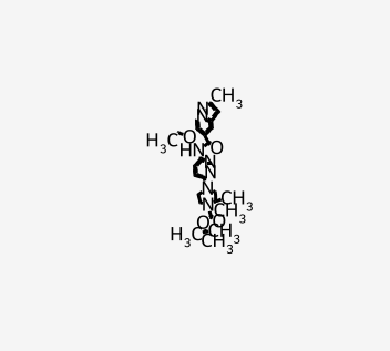 CCOc1cn2nc(C)cc2cc1C(=O)Nc1ccc(N2CCN(C(=O)OC(C)(C)C)C(C)(C)C2)nn1